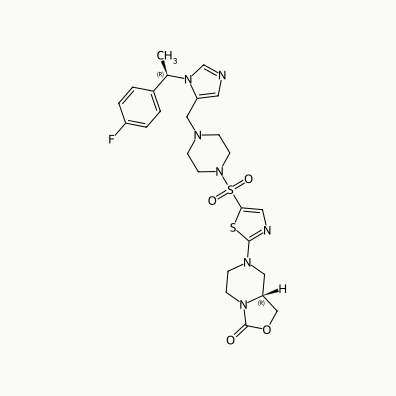 C[C@H](c1ccc(F)cc1)n1cncc1CN1CCN(S(=O)(=O)c2cnc(N3CCN4C(=O)OC[C@H]4C3)s2)CC1